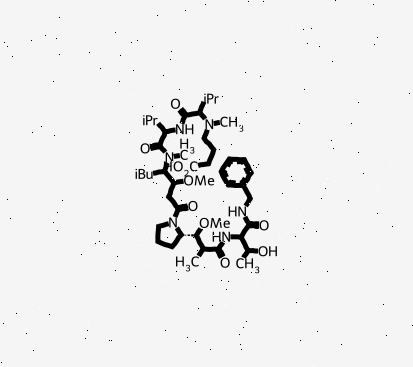 CCC(C)C(C(CC(=O)N1CCC[C@H]1C(OC)C(C)C(=O)NC(C(=O)NCc1ccccc1)C(C)O)OC)N(C)C(=O)C(NC(=O)C(C(C)C)N(C)CCCC(=O)O)C(C)C